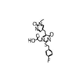 CCn1cc(Cc2cn(CC(=O)O)c(SCc3ccc(F)cc3)nc2=O)cnc1=O